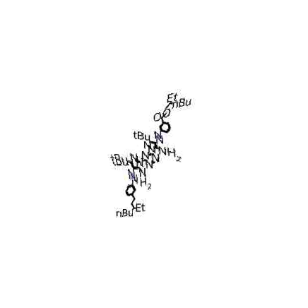 CCCCC(CC)CCc1cccc(/N=N/c2c(C(C)(C)C)nn(-c3ncnc(-n4nc(C(C)(C)C)c(/N=N/c5cccc(C(=O)OCC(CC)CCCC)c5)c4N)n3)c2N)c1